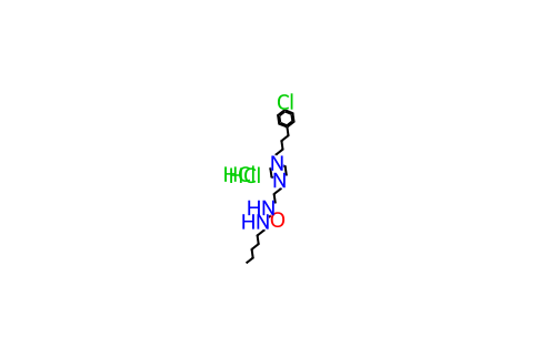 CCCCCCNC(=O)NCCCN1CCN(CCCCc2ccc(Cl)cc2)CC1.Cl.Cl